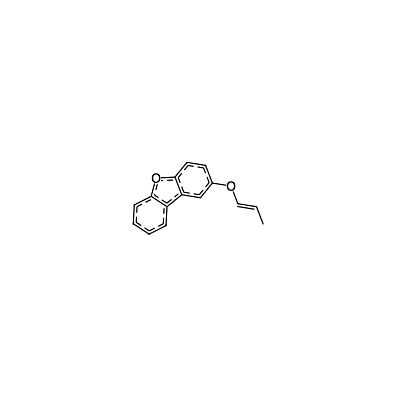 CC=COc1ccc2oc3ccccc3c2c1